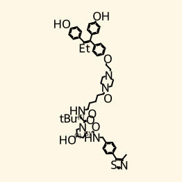 CCC(=C(c1ccc(O)cc1)c1ccc(OCCN2CCN(C(=O)CCCC(=O)N[C@H](C(=O)N3C[C@H](O)C[C@H]3C(=O)NCc3ccc(-c4scnc4C)cc3)C(C)(C)C)CC2)cc1)c1ccc(O)cc1